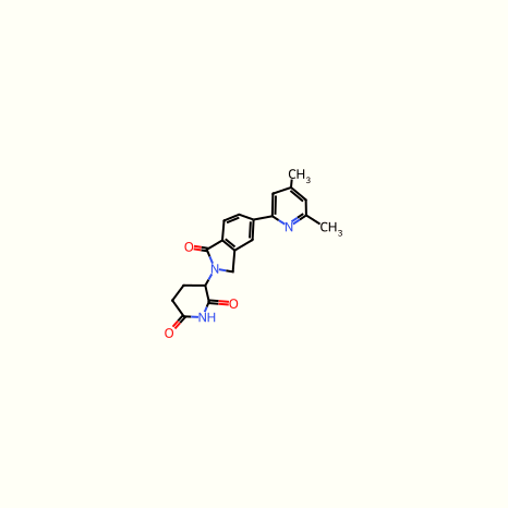 Cc1cc(C)nc(-c2ccc3c(c2)CN(C2CCC(=O)NC2=O)C3=O)c1